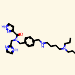 CCCN(CCC)CCCCNCc1ccc(CN(Cc2ncc[nH]2)C(=O)c2cc[nH]n2)cc1